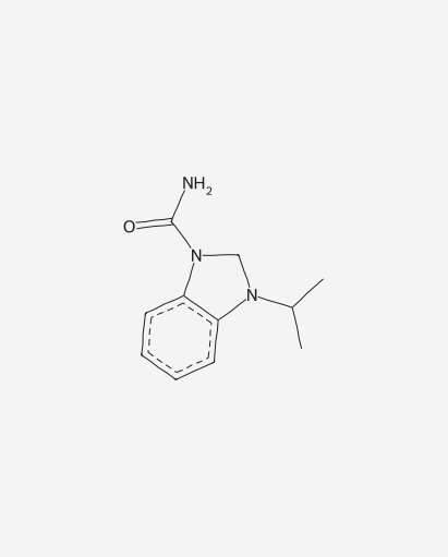 CC(C)N1CN(C(N)=O)c2ccccc21